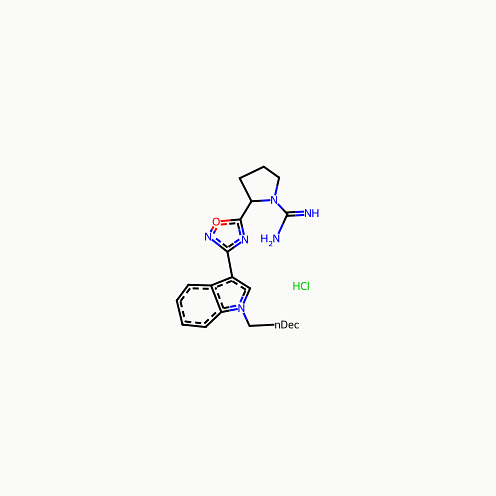 CCCCCCCCCCCn1cc(-c2noc(C3CCCN3C(=N)N)n2)c2ccccc21.Cl